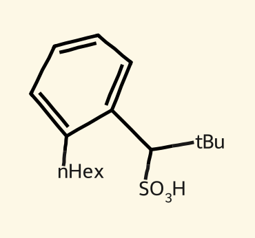 CCCCCCc1ccccc1C(C(C)(C)C)S(=O)(=O)O